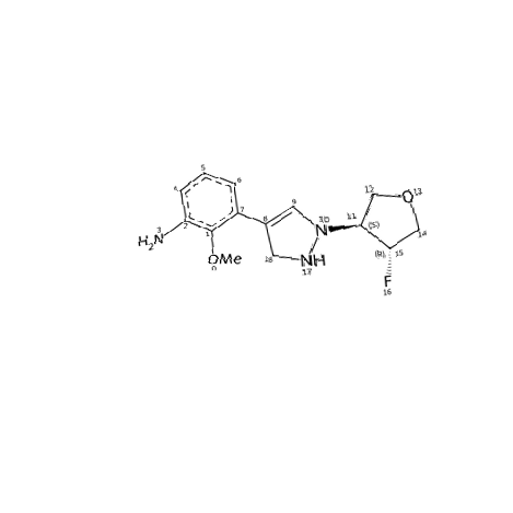 COc1c(N)cccc1C1=CN([C@H]2COC[C@@H]2F)NC1